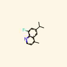 Cc1ccnc2c(F)cc(C(C)C)cc12